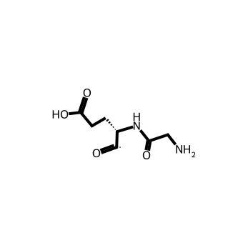 NCC(=O)N[C@H]([C]=O)CCC(=O)O